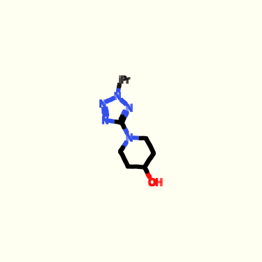 CC(C)n1nnc(N2CCC(O)CC2)n1